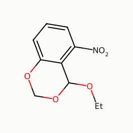 CCOC1OCOc2cccc([N+](=O)[O-])c21